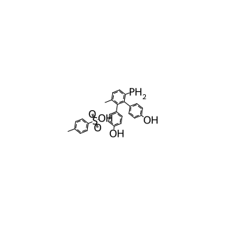 Cc1ccc(P)c(-c2ccc(O)cc2)c1-c1ccc(O)cc1.Cc1ccc(S(=O)(=O)O)cc1